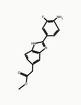 COC(=O)Cc1ccc2[nH]c(-c3ccc(N)c(F)c3)nc2c1